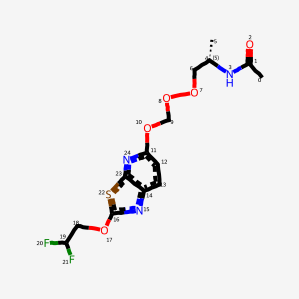 CC(=O)N[C@@H](C)COOCOc1ccc2nc(OCC(F)F)sc2n1